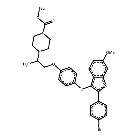 COc1ccc2c(Oc3ccc(OCC(C)N4CCN(C(=O)OC(C)(C)C)CC4)cc3)c(-c3ccc(Br)cc3)sc2c1